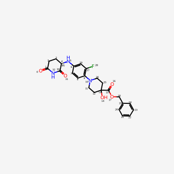 O=C1CC[C@@H](Nc2ccc(N3CCC(O)(C(=O)OCc4ccccc4)CC3)c(F)c2)C(=O)N1